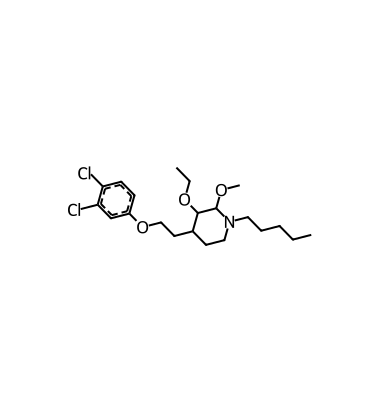 CCCCCN1CCC(CCOc2ccc(Cl)c(Cl)c2)C(OCC)C1OC